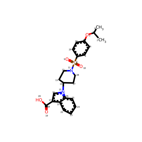 CC(C)Oc1ccc(S(=O)(=O)N2CCC(n3cc(C(=O)O)c4ccccc43)CC2)cc1